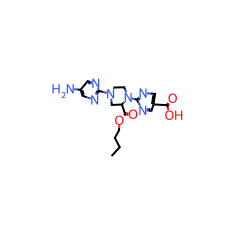 CCCCOC(=O)C1CN(c2ncc(N)cn2)CCN1c1ncc(C(=O)O)cn1